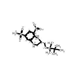 CC(C)(C)[Si](C)(C)OC[C@@H]1CNc2cc(S(N)(=O)=O)cc([N+](=O)[O-])c2N1